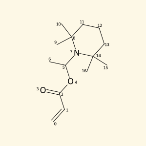 C=CC(=O)OC(C)N1C(C)(C)CCCC1(C)C